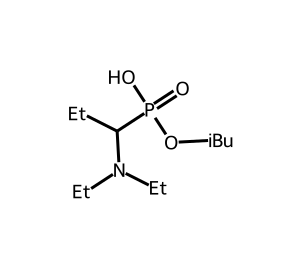 CCC(C)OP(=O)(O)C(CC)N(CC)CC